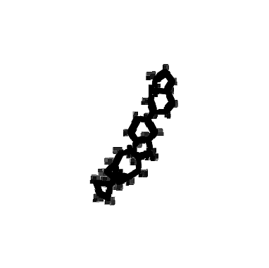 c1cc2ccc(-c3ccc4c(c3)nc3n4CC4CCC(C3)N4C3CCC3)cn2c1